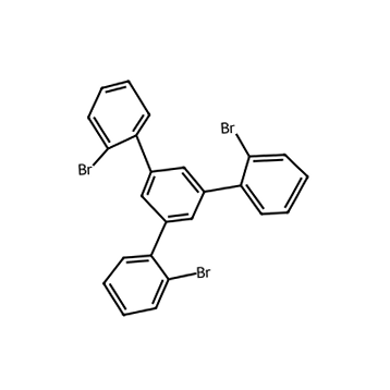 Brc1ccccc1-c1cc(-c2ccccc2Br)cc(-c2ccccc2Br)c1